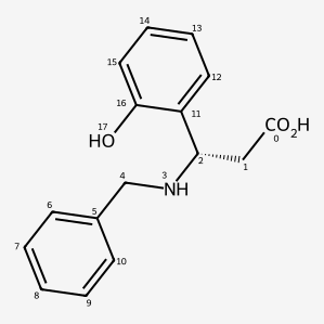 O=C(O)C[C@H](NCc1ccccc1)c1ccccc1O